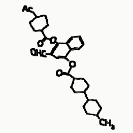 CC(=O)C1CCC(C(=O)Oc2c(C=O)cc(OC(=O)C3CCC(C4CCC(C)CC4)CC3)c3ccccc23)CC1